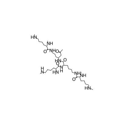 CNCCCCC(NC)C(=O)NCCCCC(NC(=O)C(CCCCNC)NC)C(=O)NC(CCCNC(=O)C(CCCCNC)NC)CC(C)=O